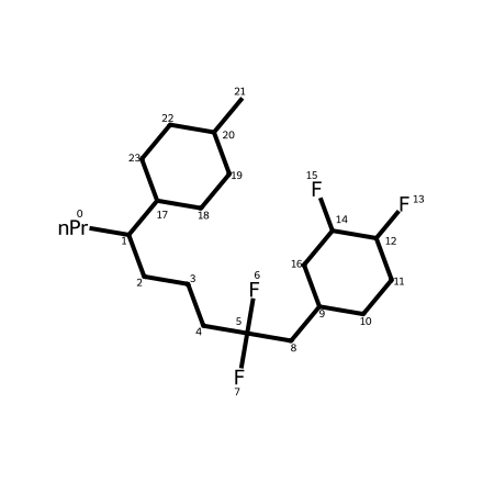 CCCC(CCCC(F)(F)CC1CCC(F)C(F)C1)C1CCC(C)CC1